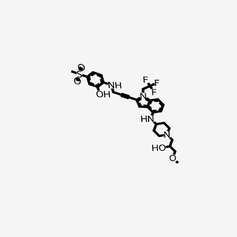 COCC(O)CN1CCC(Nc2cccc3c2cc(C#CCNc2ccc(S(C)(=O)=O)cc2O)n3CC(F)(F)F)CC1